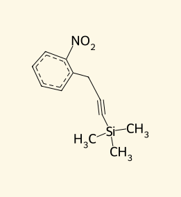 C[Si](C)(C)C#CCc1ccccc1[N+](=O)[O-]